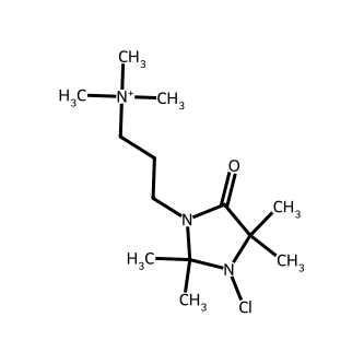 CC1(C)C(=O)N(CCC[N+](C)(C)C)C(C)(C)N1Cl